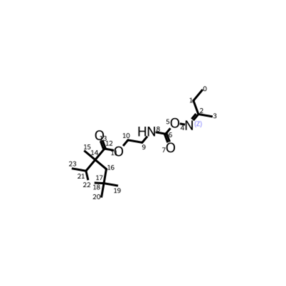 CC/C(C)=N\OC(=O)NCCOC(=O)C(C)(CC(C)(C)C)C(C)C